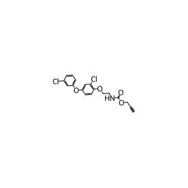 C#CCOC(=O)NCCOc1ccc(Oc2cccc(Cl)c2)cc1Cl